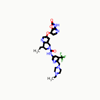 CCC1CN(C(=O)Nc2cnc(CN3CCN(CC)CC3)c(C(F)(F)F)c2)Cc2cc(Oc3ccnc4[nH]c(=O)oc34)cnc21